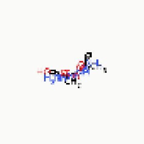 CCCN(CC(=O)NCC(=O)CNC(=O)[C@@H](C)NC(=O)[C@@H](N)Cc1ccc(O)cc1)C(=O)[C@@H](N)Cc1ccccc1